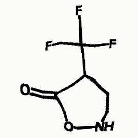 O=C1ONCC1C(F)(F)F